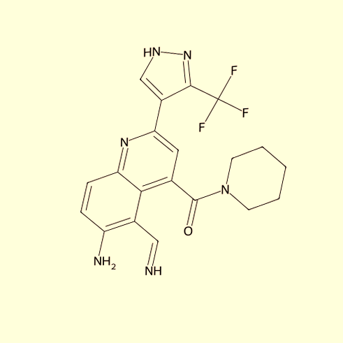 N=Cc1c(N)ccc2nc(-c3c[nH]nc3C(F)(F)F)cc(C(=O)N3CCCCC3)c12